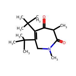 CC1C(=O)C(C(C)(C)C)=C(C(C)(C)C)CN(C)C1=O